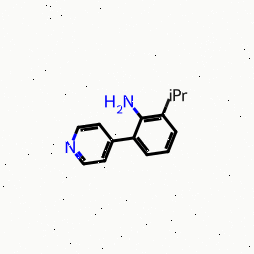 CC(C)c1cccc(-c2ccncc2)c1N